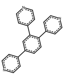 c1cc(-c2ccc(-c3ccncc3)c(-c3ccncc3)c2)ccn1